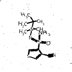 CC(C)(C)[Si](C)(C)N=S(N)(=O)c1cscc1C#N